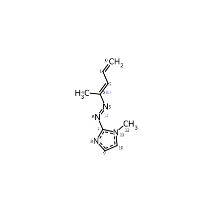 C=C/C=C(C)/N=N/c1nccn1C